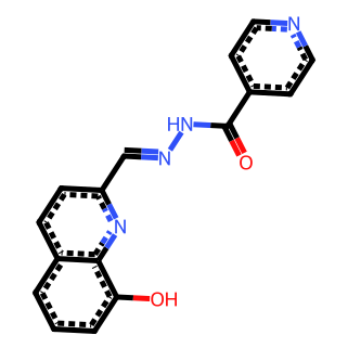 O=C(NN=Cc1ccc2cccc(O)c2n1)c1ccncc1